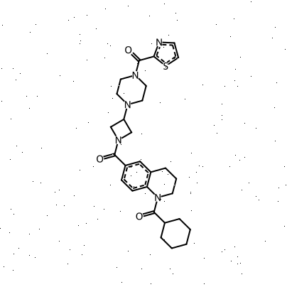 O=C(c1ccc2c(c1)CCCN2C(=O)C1CCCCC1)N1CC(N2CCN(C(=O)c3nccs3)CC2)C1